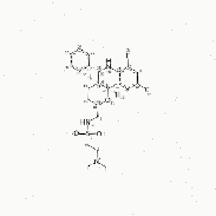 CN(C)CCS(=O)(=O)NC[C@H]1CC[C@@H]2[C@H](O1)c1cc(Cl)cc(F)c1N[C@H]2c1ccccc1